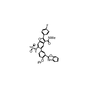 CNC(=O)c1c(-c2ccc(F)cc2)oc2cc(N(C)S(C)(=O)=O)c(-c3ccc(OC(C)C)c(-c4nc5ccccc5o4)c3)cc12